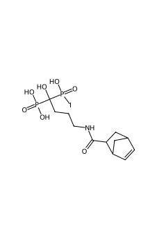 O=C(NCCCC(O)(P(=O)(O)O)P(=O)(O)I)C1CC2C=CC1C2